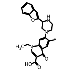 CCn1cc(C(=O)O)c(=O)c2cc(F)c(N3CCNC(c4cc5ccccc5o4)C3)cc21